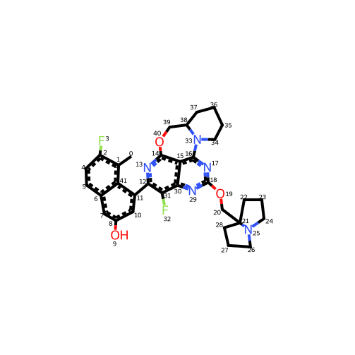 Cc1c(F)ccc2cc(O)cc(-c3nc4c5c(nc(OCC67CCCN6CCC7)nc5c3F)N3CCCCC3CO4)c12